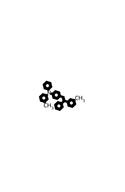 Cc1cccc(C(=Cc2ccc(N(c3ccccc3)c3cccc(C)c3)cc2)c2ccccc2)c1